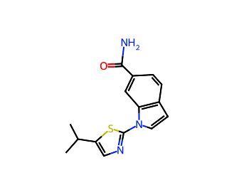 CC(C)c1cnc(-n2ccc3ccc(C(N)=O)cc32)s1